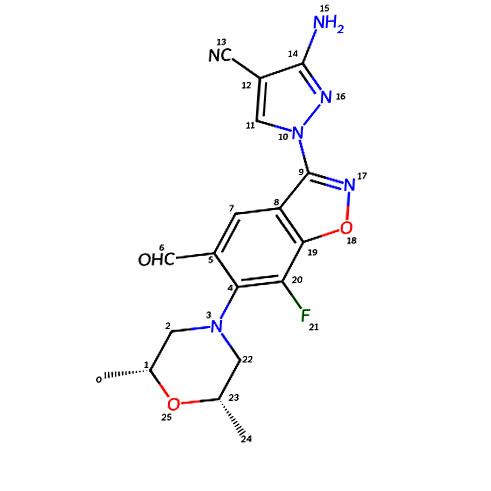 C[C@@H]1CN(c2c(C=O)cc3c(-n4cc(C#N)c(N)n4)noc3c2F)C[C@H](C)O1